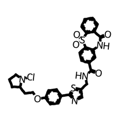 O=C(NCc1cnc(-c2ccc(OCCC3CCCN3Cl)cc2)s1)c1ccc2c(c1)NC(=O)c1ccccc1S2(=O)=O